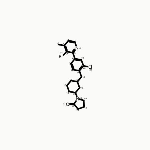 Cc1ccnc(-c2ccc(CC3CCCC(N4CCCC4=O)C3)c(Cl)c2)c1Br